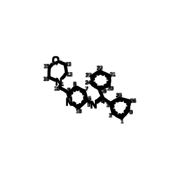 c1ccc(C(=Nc2ccc(CN3CCOCC3)nc2)c2ccccc2)cc1